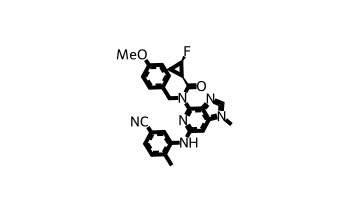 COc1ccc(CN(C(=O)[C@H]2C[C@H]2F)c2nc(Nc3cc(C#N)ccc3C)cc3c2ncn3C)cc1